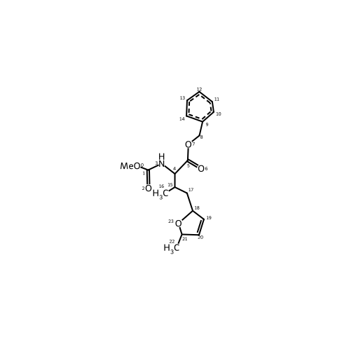 COC(=O)NC(C(=O)OCc1ccccc1)C(C)CC1C=CC(C)O1